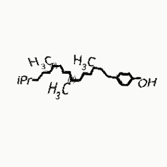 CC(C)CCC[C@@H](C)CCC[C@@H](C)CCCC(C)CCc1ccc(CO)cc1